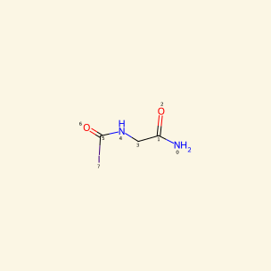 NC(=O)CNC(=O)I